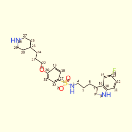 O=S(=O)(NCCCc1c[nH]c2ccc(F)cc12)c1ccc(OCCCC2CCNCC2)cc1